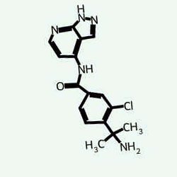 CC(C)(N)c1ccc(C(=O)Nc2ccnc3[nH]ncc23)cc1Cl